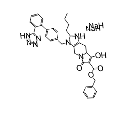 CCCCC1NC2=C(CN3C(=O)C(C(=O)OCc4ccccc4)=C(O)C3C2)N1Cc1ccc(-c2ccccc2-c2nnn[nH]2)cc1.[NaH].[NaH]